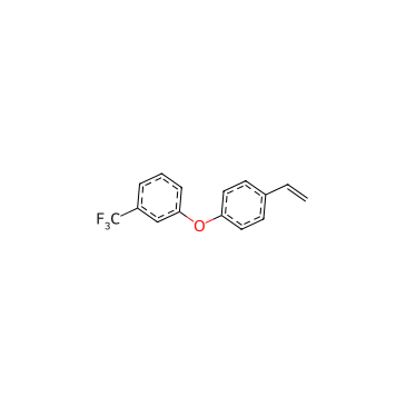 C=Cc1ccc(Oc2cccc(C(F)(F)F)c2)cc1